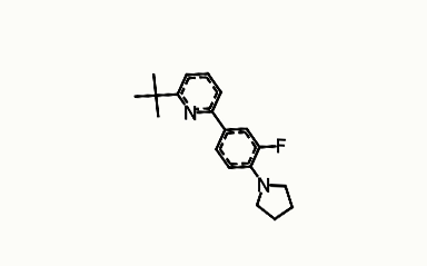 CC(C)(C)c1cccc(-c2ccc(N3CCCC3)c(F)c2)n1